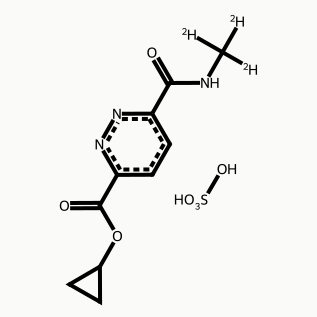 O=S(=O)(O)O.[2H]C([2H])([2H])NC(=O)c1ccc(C(=O)OC2CC2)nn1